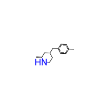 C=C1CC(Cc2ccc(C)cc2)CCN1